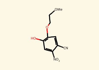 COCCOc1cc(C#N)c([N+](=O)[O-])cc1O